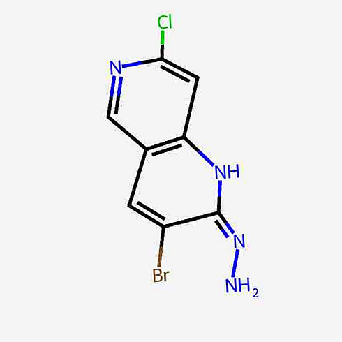 NN=c1[nH]c2cc(Cl)ncc2cc1Br